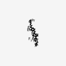 CCCOCCCC(=O)c1ccc(Cc2nccn3c(-c4cn(CC5CCC5)nc4C(F)(F)F)cnc23)cc1CC